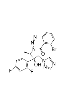 C[C@@H](n1nnc2cccc(Br)c2c1=O)[C@](O)(Cn1cncn1)c1ccc(F)cc1F